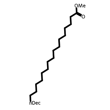 [CH2]OC(=O)CCCCCCCCCCCCCCCCCCCCCCCCC